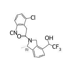 C[C@H]1c2cccc(C(O)C(F)(F)F)c2CN1C(=O)Cc1c(Cl)cccc1C#N